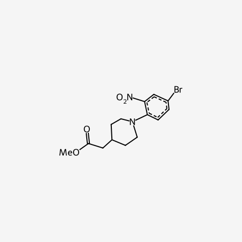 COC(=O)CC1CCN(c2ccc(Br)cc2[N+](=O)[O-])CC1